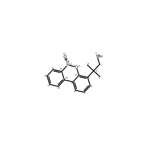 CC(C)(C)CC(C)(C)c1cccc2c1O[PH](=O)c1ccccc1-2